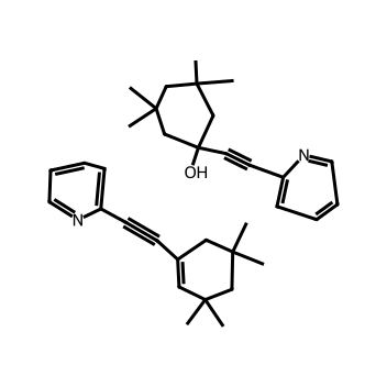 CC1(C)C=C(C#Cc2ccccn2)CC(C)(C)C1.CC1(C)CC(C)(C)CC(O)(C#Cc2ccccn2)C1